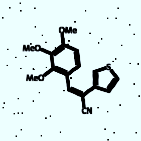 COc1ccc(C=C(C#N)c2ccsc2)c(OC)c1OC